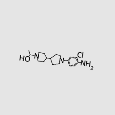 CC(O)N1CCC(C2CCN(c3ccc(N)c(Cl)c3)CC2)CC1